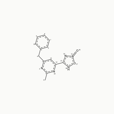 Cc1nc(Cc2ccccc2)cc(-c2nc(=O)o[nH]2)n1